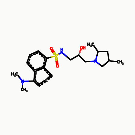 CC1CC(C)N(C[C@@H](O)CNS(=O)(=O)c2cccc3c(N(C)C)cccc23)C1